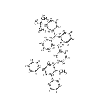 Cc1c(-c2ccccc2)nc(-c2ccccc2)nc1-c1cccc(-c2c3ccccc3c(-c3cccc(P(C)(C)=O)c3)c3ccccc23)c1